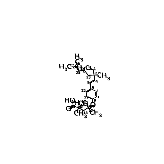 C=CC(C)(/C=C/c1ccc(OC(C)(C)CC(C)(C)C(=O)O)cc1)CCC=C(C)C